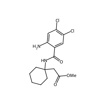 COC(=O)CC1(NC(=O)c2cc(Cl)c(Cl)cc2N)CCCCC1